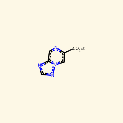 CCOC(=O)c1cn2ncnc2cn1